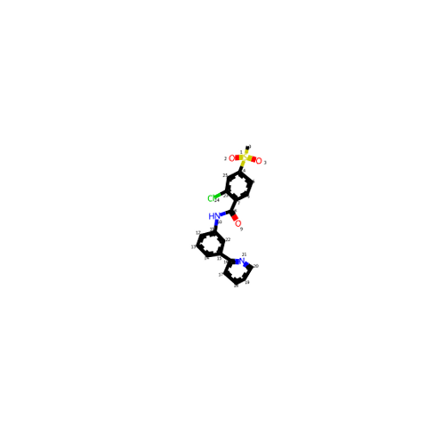 CS(=O)(=O)c1ccc(C(=O)Nc2cccc(-c3ccccn3)c2)c(Cl)c1